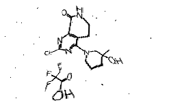 CC1(O)CCCN(c2nc(Cl)nc3c2CCNC3=O)C1.O=C(O)C(F)(F)F